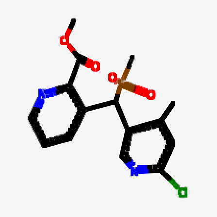 COC(=O)c1ncccc1C(c1cnc(Cl)cc1C)S(C)(=O)=O